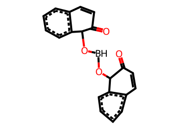 O=C1C=Cc2ccccc2C1OBOC1C(=O)C=Cc2ccccc21